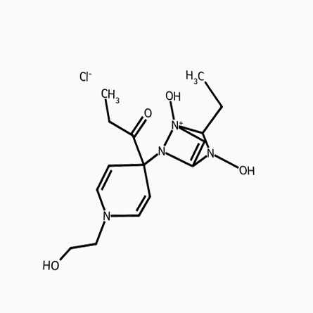 CCC(=O)C1(N2C3=C[N+]2(O)C(CC)N3O)C=CN(CCO)C=C1.[Cl-]